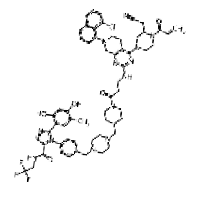 C=CC(=O)N1CCN(c2nc(NCCC(=O)N3CCC(CN4CCN(Cc5ccc(-n6c(C(=O)NCC(F)(F)F)nnc6-c6cc(C)c(O)cc6O)cc5)CC4)CC3)nc3c2CCN(c2cccc4cccc(Cl)c24)C3)CC1CC#N